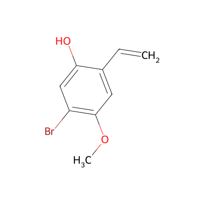 C=Cc1cc(OC)c(Br)cc1O